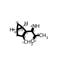 CC(=O)C(=N)C1=C(C)C[C@H]2C[C@@H]12